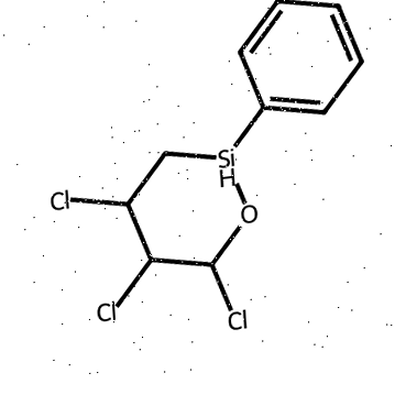 ClC1C[SiH](c2ccccc2)OC(Cl)C1Cl